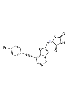 CC(C)c1ccc(C#Cc2cncc3cc(/C=C4/SC(=O)NC4=O)oc23)cc1